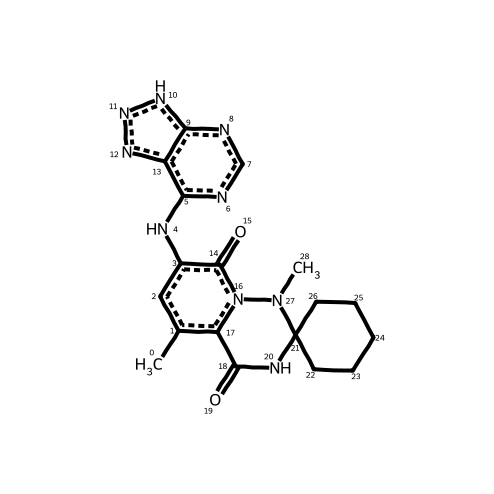 Cc1cc(Nc2ncnc3[nH]nnc23)c(=O)n2c1C(=O)NC1(CCCCC1)N2C